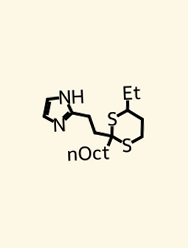 CCCCCCCCC1(CCc2ncc[nH]2)SCCC(CC)S1